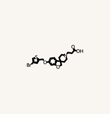 O=C(O)CCN1CCC2(CC1)COc1cc(OCc3cc(Br)cs3)ccc12